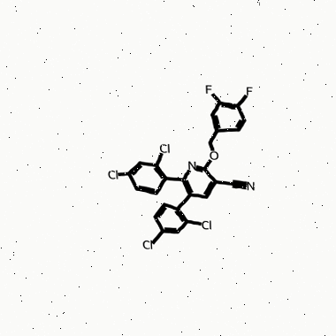 N#Cc1cc(-c2ccc(Cl)cc2Cl)c(-c2ccc(Cl)cc2Cl)nc1OCc1ccc(F)c(F)c1